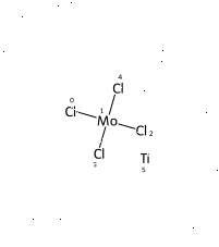 [Cl][Mo]([Cl])([Cl])[Cl].[Ti]